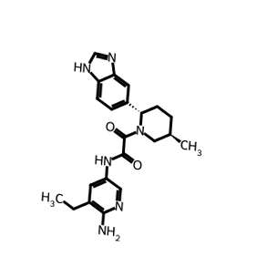 CCc1cc(NC(=O)C(=O)N2C[C@H](C)CC[C@H]2c2ccc3[nH]cnc3c2)cnc1N